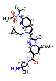 COc1cc(C(=O)NCC(C)(C)N)cc2nc(-c3cc4ccc(N(C(F)F)S(C)(=O)=O)nc4n3CC3CC3)c(C)n12